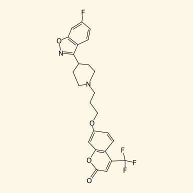 O=c1cc(C(F)(F)F)c2ccc(OCCCN3CCC(c4noc5cc(F)ccc45)CC3)cc2o1